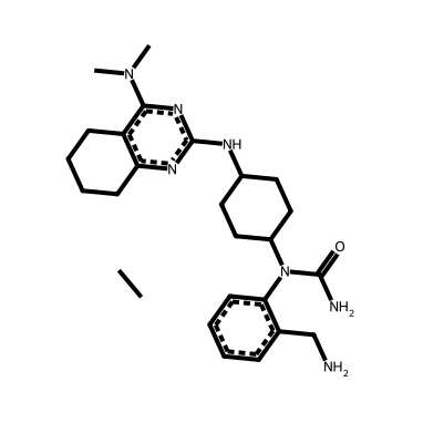 CC.CN(C)c1nc(NC2CCC(N(C(N)=O)c3ccccc3CN)CC2)nc2c1CCCC2